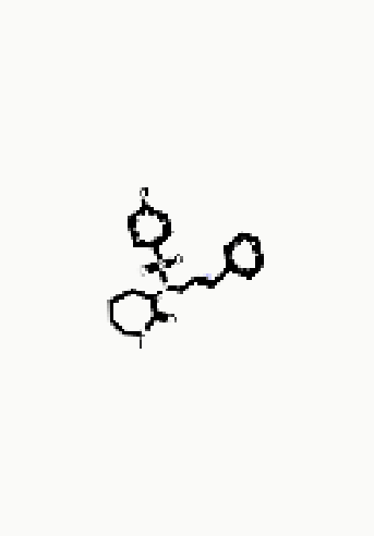 O=C1NCCCC[C@H]1N(C/C=C/c1ccccc1)S(=O)(=O)c1ccc(Cl)cc1